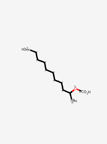 CCCCCCCCCCCCCCCCCCC(CCCC)OC(=O)O